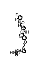 O=C(Cn1ccc(Nc2ncnc3cc(OCCCN4CCC[C@@H]4COP(=O)(O)O)ccc23)n1)Nc1cccc(F)c1F